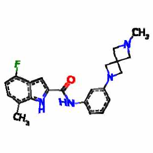 Cc1ccc(F)c2cc(C(=O)Nc3cccc(N4CC5(CN(C)C5)C4)c3)[nH]c12